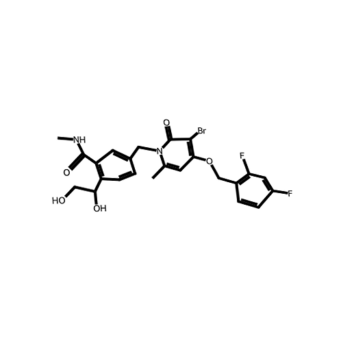 CNC(=O)c1cc(Cn2c(C)cc(OCc3ccc(F)cc3F)c(Br)c2=O)ccc1C(O)CO